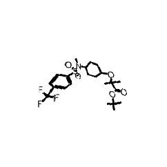 CN(C1CCC(OC(C)(C)C(=O)OC(C)(C)C)CC1)S(=O)(=O)c1ccc(C(F)(F)F)cc1